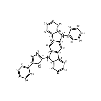 c1ccc(-c2cnc(-n3c4ccccc4c4cc5c(cc43)c3ccccc3n5-c3ccccc3)s2)cc1